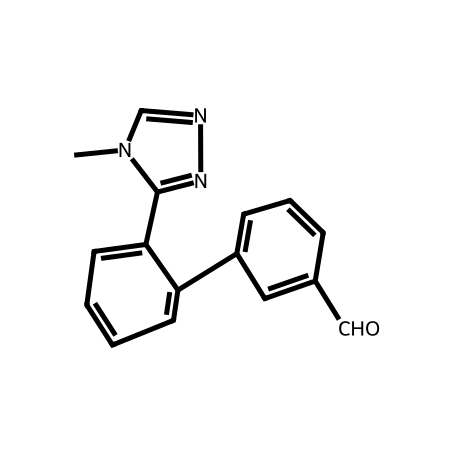 Cn1cnnc1-c1ccccc1-c1cccc(C=O)c1